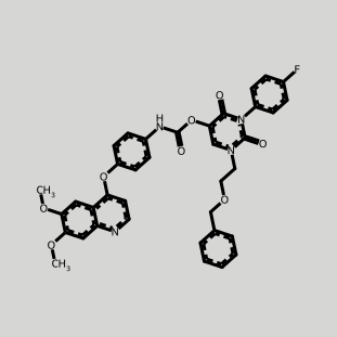 COc1cc2nccc(Oc3ccc(NC(=O)Oc4cn(CCOCc5ccccc5)c(=O)n(-c5ccc(F)cc5)c4=O)cc3)c2cc1OC